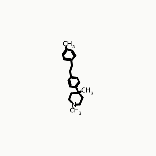 Cc1ccc(CCc2ccc(C3(C)CCN(C)CC3)cc2)cc1